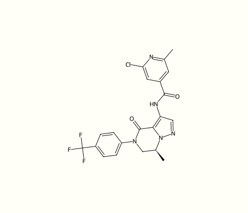 Cc1cc(C(=O)Nc2cnn3c2C(=O)N(c2ccc(C(F)(F)F)cc2)C[C@@H]3C)cc(Cl)n1